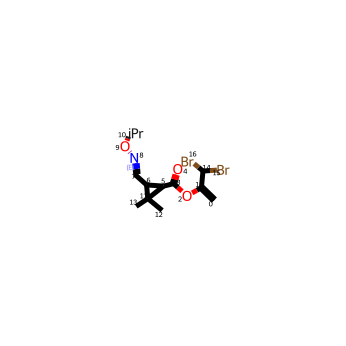 C=C(OC(=O)C1C(/C=N/OC(C)C)C1(C)C)C(Br)Br